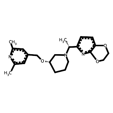 Cc1cc(CO[C@H]2CCCN([C@H](C)c3ccc4c(n3)OCCO4)C2)cc(C)n1